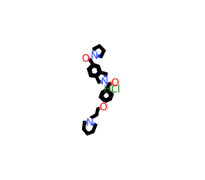 Cl.O=C(c1ccc2c(c1)CN(C(=O)c1ccc(OCCCN3CCCCC3)cc1)C2)N1CCCC1